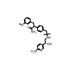 COc1cccc(CC(C(N)=O)c2ccc(CC(C)(C)NC[C@H](O)c3ccc(N)nc3)cc2)c1